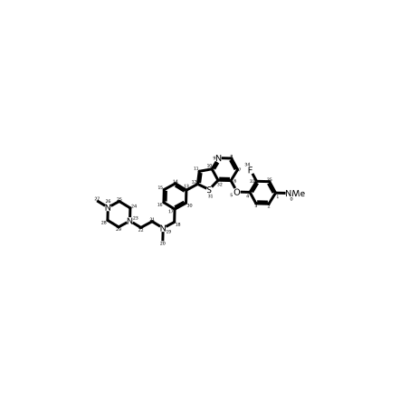 CNc1ccc(Oc2ccnc3cc(-c4cccc(CN(C)CCN5CCN(C)CC5)c4)sc23)c(F)c1